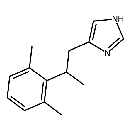 Cc1cccc(C)c1C(C)Cc1c[nH]cn1